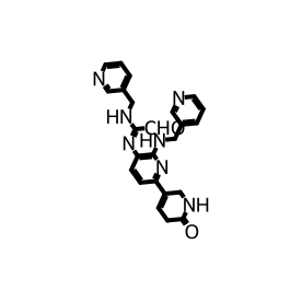 O=C/C(=N\c1ccc(C2=CCC(=O)NC2)nc1NCc1cccnc1)NCc1cccnc1